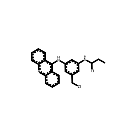 CCC(Cl)Nc1cc(CCl)cc(Nc2c3ccccc3nc3ccccc23)c1